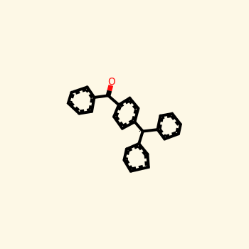 O=C(c1ccccc1)c1ccc([C](c2ccccc2)c2ccccc2)cc1